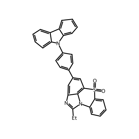 CCc1nc2cc(-c3ccc(-n4c5ccccc5c5ccccc54)cc3)cc3c2n1-c1ccccc1S3(=O)=O